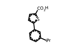 CC(C)c1cccc(-c2ccc(C(=O)O)s2)c1